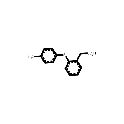 Bc1ccc(Sc2ccccc2CC(=O)O)cc1